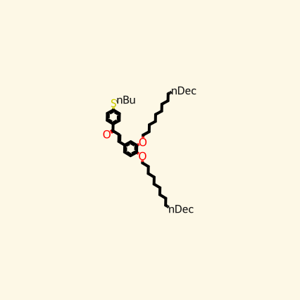 CCCCCCCCCCCCCCCCCCCOc1ccc(C=CC(=O)c2ccc(SCCCC)cc2)cc1OCCCCCCCCCCCCCCCCCCC